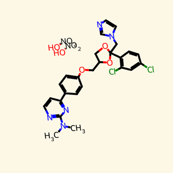 CN(C)c1nccc(-c2ccc(OCC3COC(Cn4ccnc4)(c4ccc(Cl)cc4Cl)O3)cc2)n1.O=[N+]([O-])O.O=[N+]([O-])O